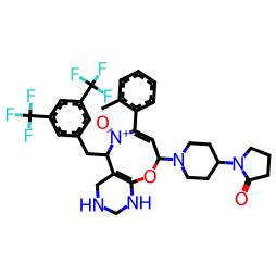 Cc1ccccc1/C1=C/C(N2CCC(N3CCCC3=O)CC2)OC2=C(CNCN2)C(Cc2cc(C(F)(F)F)cc(C(F)(F)F)c2)[N+]1=O